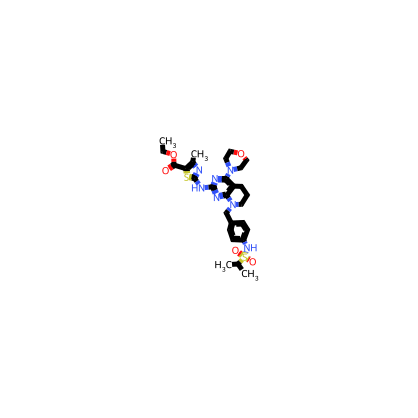 CCOC(=O)c1sc(Nc2nc(N3CCOCC3)c3c(n2)N(Cc2ccc(NS(=O)(=O)C(C)C)cc2)CCC3)nc1C